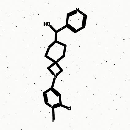 OC(c1cccnc1)C1CCC2(CC1)CN(c1ccc(F)c(Cl)c1)C2